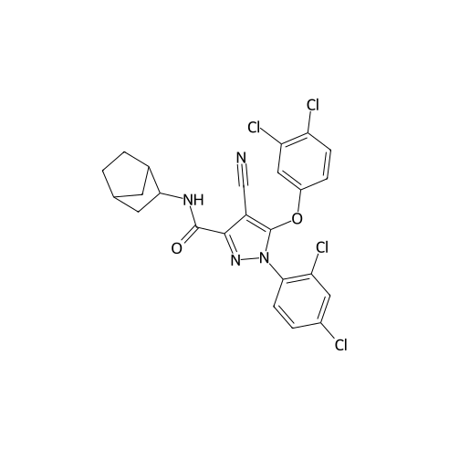 N#Cc1c(C(=O)NC2CC3CCC2C3)nn(-c2ccc(Cl)cc2Cl)c1Oc1ccc(Cl)c(Cl)c1